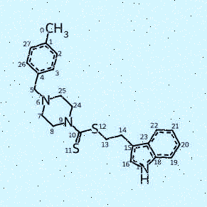 Cc1ccc(CN2CCN(C(=S)SCCc3c[nH]c4ccccc34)CC2)cc1